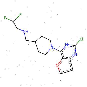 FC(F)CNCC1CCN(c2nc(Cl)nc3ccoc23)CC1